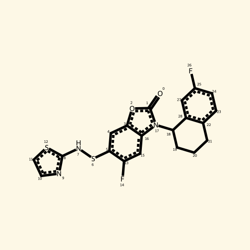 O=c1oc2cc(SNc3nccs3)c(F)cc2n1C1CCCc2ccc(F)cc21